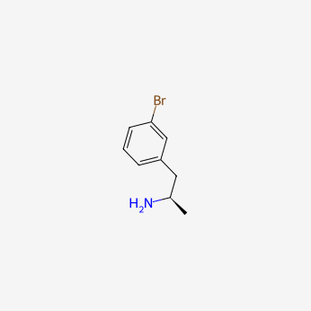 C[C@@H](N)Cc1cccc(Br)c1